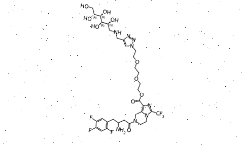 NC(CC(=O)N1CCn2c(C(F)(F)F)nc(C(=O)OCCOCCOCCn3cc(CNC[C@H](O)[C@@H](O)[C@H](O)[C@H](O)CO)nn3)c2C1)Cc1cc(F)c(F)cc1F